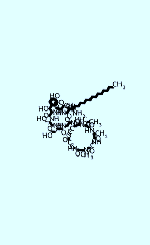 C=C1NC(=O)[C@H](C(C)C)NC(=O)[C@H](NC(=O)CNC(=O)[C@H](CCO)NC(=O)[C@H](CO)NC(=O)[C@@H](NC(=O)[C@@H](NC(=O)[C@@H](O)[C@@H](N)CCCCCCCCCCCCCCC)[C@@H](C)O)[C@@H](O)c2ccc(O)cc2)CCOC(=O)CCNC(=O)C(C)NC(=O)CNC1=O